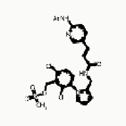 CC(=O)Nc1ccc(C=CC(=O)NCc2cccn2-c2ccc(Cl)c(COS(C)(=O)=O)c2Cl)cn1